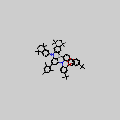 Cc1cc(C)c(-c2cc3c4c(c2)N(c2ccc(C(C)(C)C)cc2-c2ccccc2)c2c(ccc5c2oc2cc(C(C)(C)C)ccc25)B4c2cc4c(cc2N3c2ccc3c(c2)C(C)(C)CCC3(C)C)C(C)(C)CCC4(C)C)c(C)c1